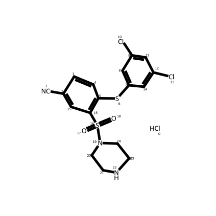 Cl.N#Cc1ccc(Sc2cc(Cl)cc(Cl)c2)c(S(=O)(=O)N2CCNCC2)c1